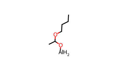 CCCCOC(C)[O][AlH2]